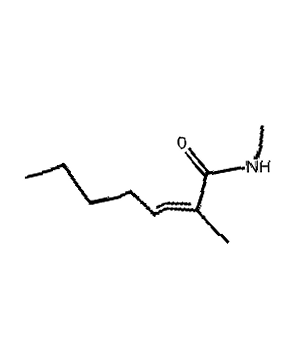 CCCCC=C(C)C(=O)NC